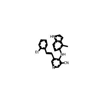 CCc1ccccc1C=Cc1cncc(C#N)c1Nc1ccc2[nH]ccc2c1C